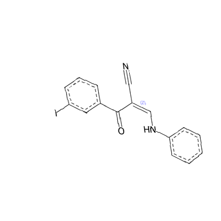 N#C/C(=C/Nc1ccccc1)C(=O)c1cccc(I)c1